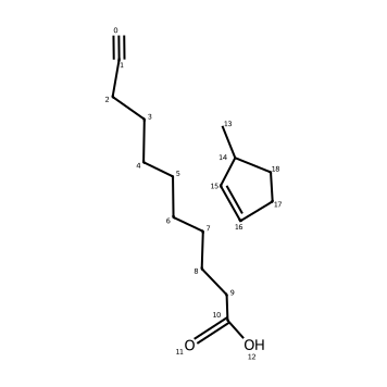 C#CCCCCCCCCC(=O)O.CC1C=CCC1